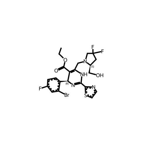 CCOC(=O)C1=C(CN2CC(F)(F)C[C@H]2CO)NC(c2nccs2)=N[C@H]1c1ccc(F)cc1Br